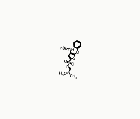 CCCCNc1cc(S(=O)(=O)/N=C/N(C)C)sc1Oc1ccccc1